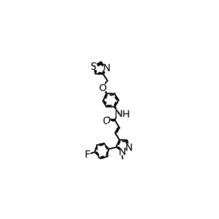 Cn1ncc(C=CC(=O)Nc2ccc(OCc3cscn3)cc2)c1-c1ccc(F)cc1